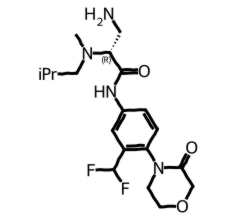 CC(C)CN(C)[C@H](CN)C(=O)Nc1ccc(N2CCOCC2=O)c(C(F)F)c1